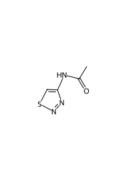 CC(=O)Nc1csnn1